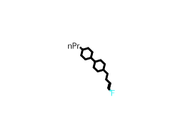 CCCC1CCC(C2CCC(CC/C=C/F)CC2)CC1